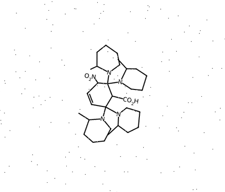 CC1CCCCN1C1(N2CCCCC2C)C=CC([N+](=O)[O-])C(N2CCCCC2C)(N2CCCCC2C)C1C(=O)O